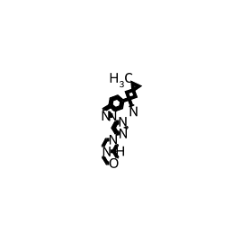 C[C@@H]1CC12CC(C#N)(c1ccc3cnn(-c4cc(N5CCN6CCOC[C@@H]6C5)ncn4)c3c1)C2